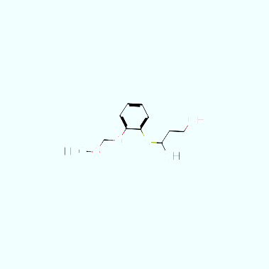 COCOc1ccccc1SC(C)CCO